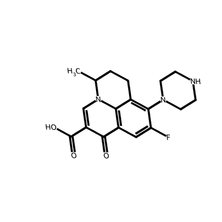 CC1CCc2c(N3CCNCC3)c(F)cc3c(=O)c(C(=O)O)cn1c23